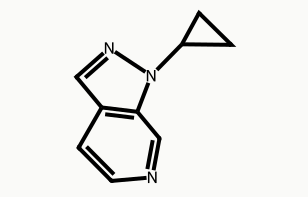 c1cc2cnn(C3CC3)c2cn1